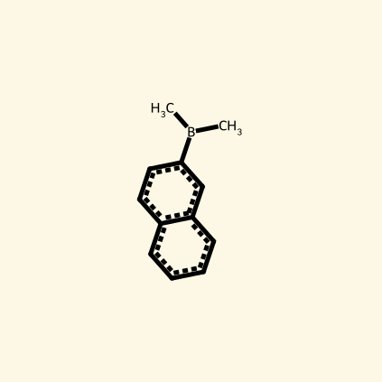 CB(C)c1ccc2ccccc2c1